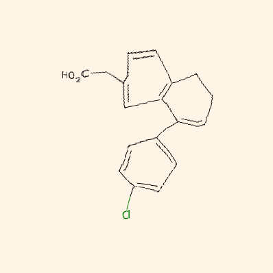 O=C(O)c1ccc2c(c1)C(c1ccc(Cl)cc1)=CCC2